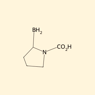 BC1CCCN1C(=O)O